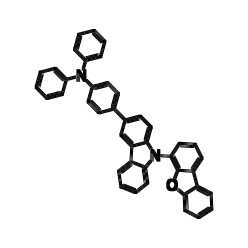 c1ccc(N(c2ccccc2)c2ccc(-c3ccc4c(c3)c3ccccc3n4-c3cccc4c3oc3ccccc34)cc2)cc1